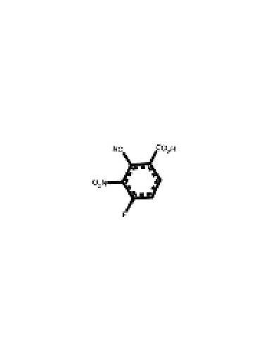 O=C(O)c1ccc(F)c([N+](=O)[O-])c1O